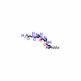 CNc1cc(C(=O)Nc2cc(C(=O)Nc3cc(C(=O)NCCC(N)=O)n(C)c3)n(C)c2)n(C)c1